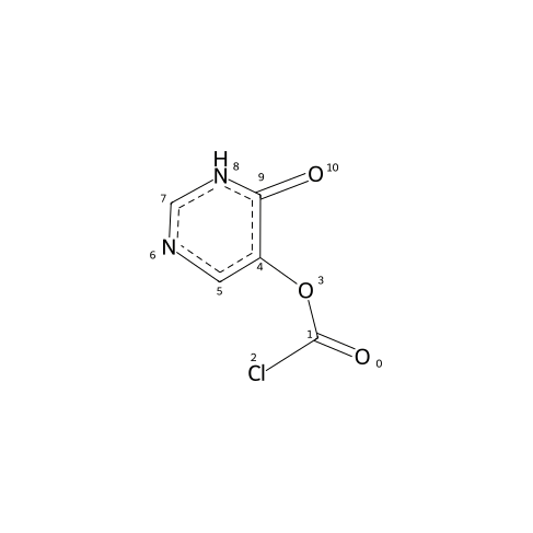 O=C(Cl)Oc1cnc[nH]c1=O